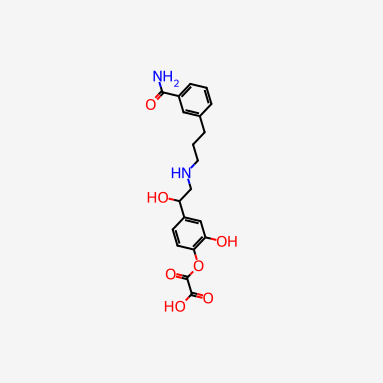 NC(=O)c1cccc(CCCNCC(O)c2ccc(OC(=O)C(=O)O)c(O)c2)c1